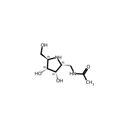 CC(=O)NC[C@H]1N[C@H](CO)[C@@H](O)[C@H]1O